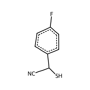 N#CC(S)c1ccc(F)cc1